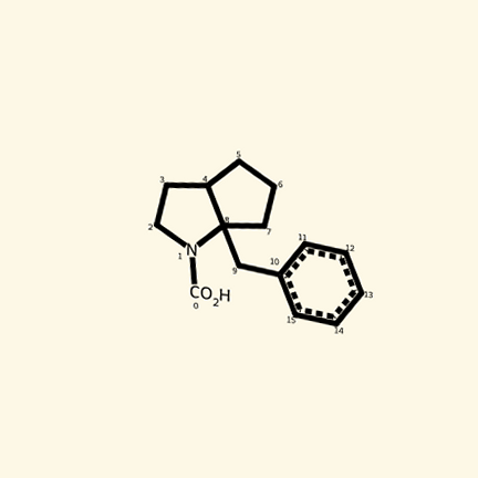 O=C(O)N1CCC2CCCC21Cc1ccccc1